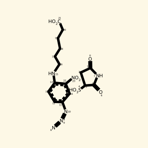 O=C1CC(S(=O)(=O)O)C(=O)N1.[N-]=[N+]=Nc1ccc(NCCCCCC(=O)O)c([N+](=O)[O-])c1